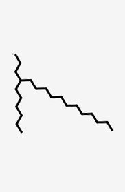 [CH2]CCC(CCCCCC)CCCCCCCCCCCC